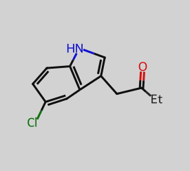 CCC(=O)Cc1c[nH]c2ccc(Cl)cc12